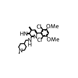 C=C1C=C(c2c(Cl)c(OC)cc(OC)c2Cl)N=C(NCC2CCN(C)CC2)C1=N